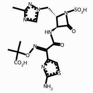 Cc1ncn(C[C@H]2[C@H](NC(=O)C(=NOC(C)(C)C(=O)O)c3csc(N)n3)C(=O)N2S(=O)(=O)O)n1